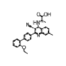 CCOc1ccccc1-c1ccc(-c2nc3cc(C)ccc3c(N[C@H](C)C(=O)O)c2C#N)cc1